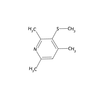 CSc1c(C)cc(C)nc1C